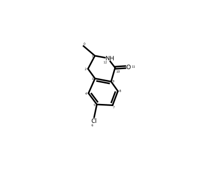 CC1Cc2cc(Cl)ccc2C(=O)N1